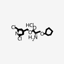 Cl.N[C@@H](COC1CCCCC1)C(=O)OCc1cc(Cl)nc(Cl)c1